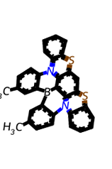 Cc1ccc2c(c1)B1c3cc(C)ccc3-n3c4ccccc4sc4cc5sc6ccccc6n-2c5c1c43